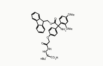 CCCC[C@H](NNC(=O)COc1ccc(C(N)(C(=O)OCC2c3ccccc3-c3ccccc32)c2ccc(OC)cc2OC)cc1)C(=O)O